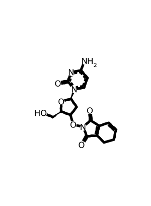 Nc1ccn([C@H]2CC(ON3C(=O)C4=C(CCC=C4)C3=O)[C@@H](CO)O2)c(=O)n1